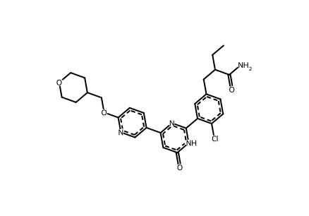 CCC(Cc1ccc(Cl)c(-c2nc(-c3ccc(OCC4CCOCC4)nc3)cc(=O)[nH]2)c1)C(N)=O